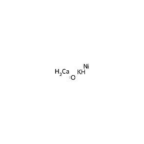 [CaH2].[KH].[Ni].[O]